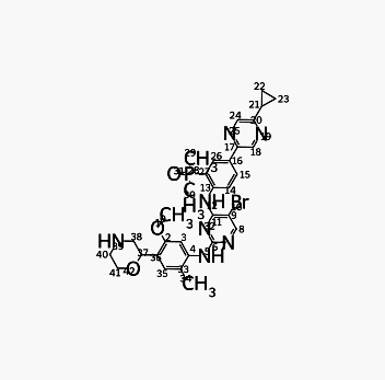 COc1cc(Nc2ncc(Br)c(Nc3ccc(-c4cnc(C5CC5)cn4)cc3P(C)(C)=O)n2)c(C)cc1C1CNCCO1